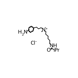 CC(C)C(=O)NCCCCCC[N+](C)(C)CCCc1ccc(N)cc1.[Cl-]